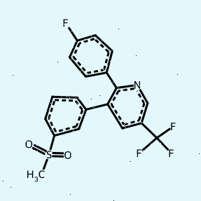 CS(=O)(=O)c1cccc(-c2cc(C(F)(F)F)cnc2-c2ccc(F)cc2)c1